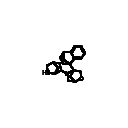 c1ccc2c(c1)C1CCC2(C23COC(CN2C2CC4CNC2C4)C3)CC1